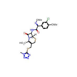 CON=C(C(=O)NC1C(=O)N2C(C(=O)O)=C(CSc3nnnn3C)CS[C@@H]12)c1ccc(OC)c(Cl)c1